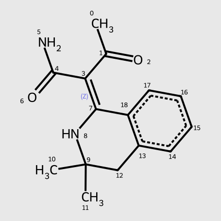 CC(=O)/C(C(N)=O)=C1/NC(C)(C)Cc2ccccc21